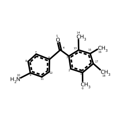 Cc1cc(C(=O)c2ccc(N)cc2)c(C)c(C)c1C